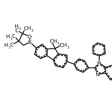 CC1(C)c2cc(B3CC(C)(C)C(C)(C)O3)ccc2-c2ccc(-c3ccc(-c4nc5ccccc5n4-c4ccccc4)cc3)cc21